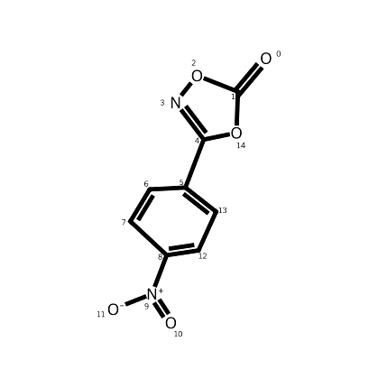 O=c1onc(-c2ccc([N+](=O)[O-])cc2)o1